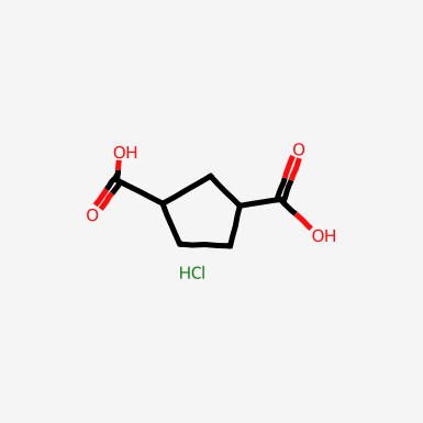 Cl.O=C(O)C1CCC(C(=O)O)C1